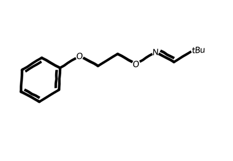 CC(C)(C)/C=N/OCCOc1ccccc1